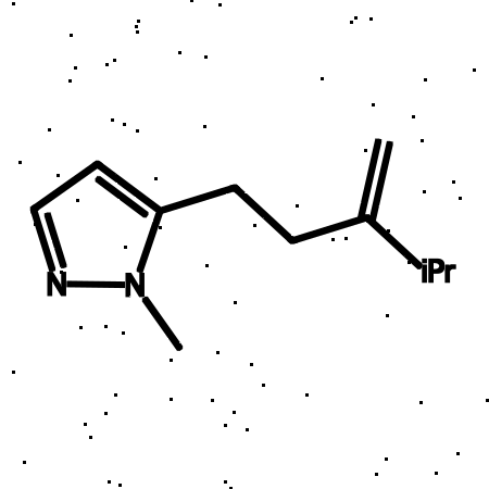 C=C(CCc1ccnn1C)C(C)C